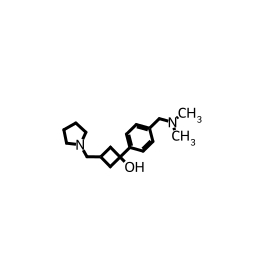 CN(C)Cc1ccc(C2(O)CC(CN3CCCC3)C2)cc1